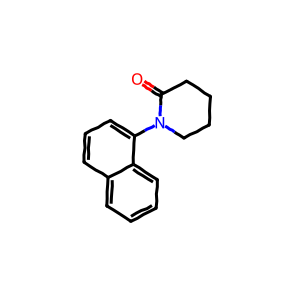 O=C1CCCCN1c1cccc2ccccc12